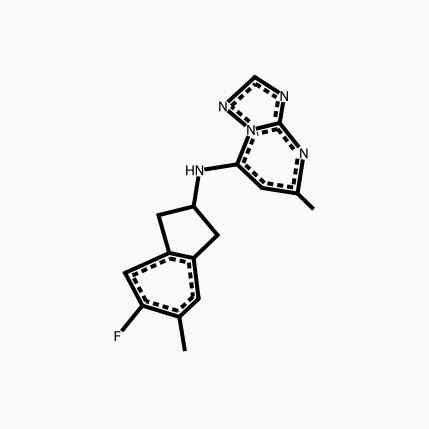 Cc1cc(NC2Cc3cc(C)c(F)cc3C2)n2ncnc2n1